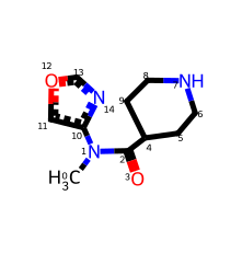 CN(C(=O)C1CCNCC1)c1cocn1